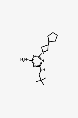 CC(C)(C)CNc1nc(N)nc(N2CC(N3CCCC3)C2)n1